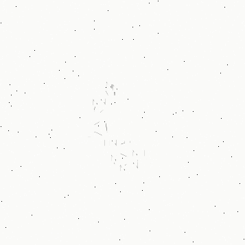 Cn1cc(-n2cc(-c3cc(F)cc(CNC(=O)c4ncnc5nc(C6CCCC6)[nH]c45)c3)cn2)cn1